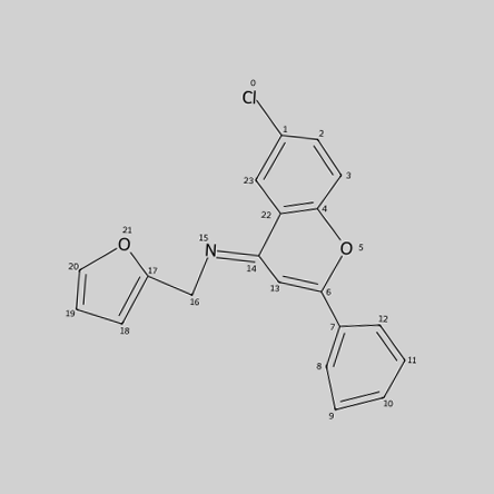 Clc1ccc2oc(-c3ccccc3)c/c(=N\Cc3ccco3)c2c1